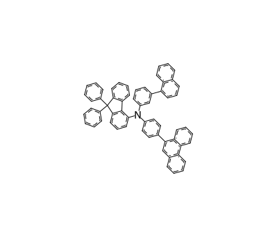 c1ccc(C2(c3ccccc3)c3ccccc3-c3c(N(c4ccc(-c5cc6ccccc6c6ccccc56)cc4)c4cccc(-c5cccc6ccccc56)c4)cccc32)cc1